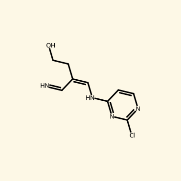 N=C/C(=C\Nc1ccnc(Cl)n1)CCO